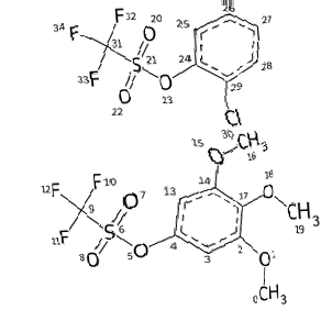 COc1cc(OS(=O)(=O)C(F)(F)F)cc(OC)c1OC.O=S(=O)(Oc1ccccc1Cl)C(F)(F)F